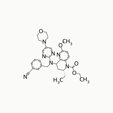 CCOC(=O)N1c2ccc(OC)nc2C(N(Cc2cccc(C#N)c2)c2ncc(N3CCOCC3)cn2)C[C@H]1CC